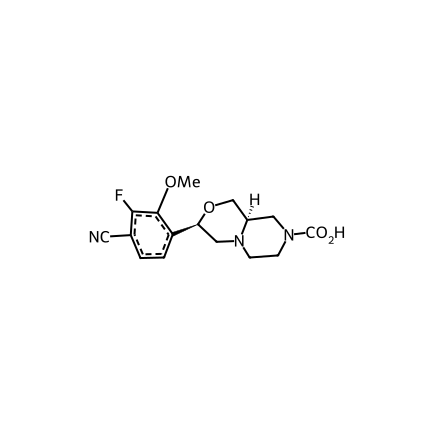 COc1c([C@@H]2CN3CCN(C(=O)O)C[C@@H]3CO2)ccc(C#N)c1F